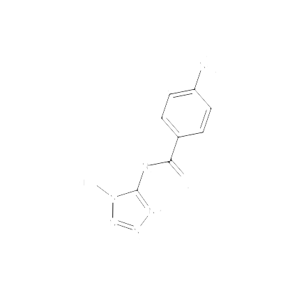 Cn1nnnc1NC(=O)c1ccc([N+](=O)[O-])cc1